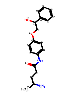 NC(CCC(=O)Nc1ccc(OCC(O)c2ccccc2)cc1)C(=O)O